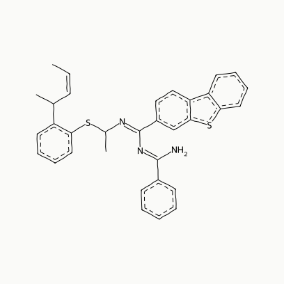 C/C=C\C(C)c1ccccc1SC(C)/N=C(\N=C(/N)c1ccccc1)c1ccc2c(c1)sc1ccccc12